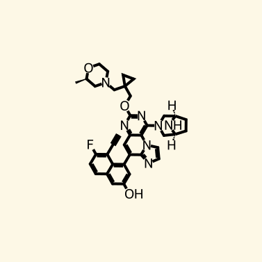 C#Cc1c(F)ccc2cc(O)cc(-c3cc4nc(OCC5(CN6CCO[C@H](C)C6)CC5)nc(N5C[C@H]6CC[C@@H](C5)N6)c4n4ccnc34)c12